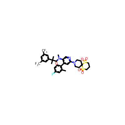 Cc1cc(F)ccc1-c1cc(N2CCC3(CC2)S(=O)(=O)CCCS3(=O)=O)ncc1N(C)C(=O)C(C)(C)c1cc(C(F)(F)F)cc(C(F)(F)F)c1